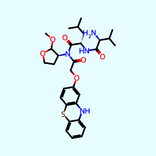 COC1OCC[C@@H]1N(C(=O)COc1ccc2c(c1)Nc1ccccc1S2)C(=O)[C@H](CC(C)C)NC(=O)[C@@H](N)C(C)C